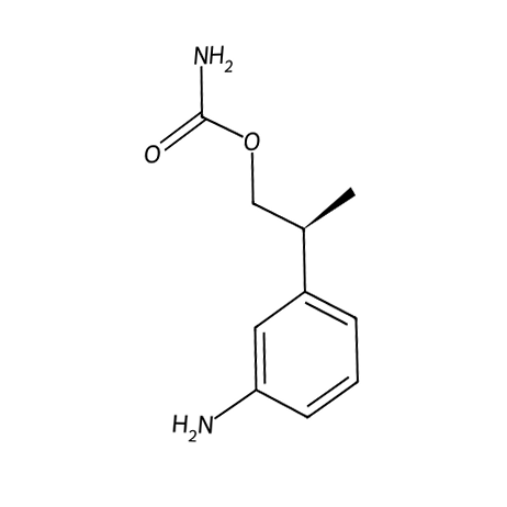 C[C@H](COC(N)=O)c1cccc(N)c1